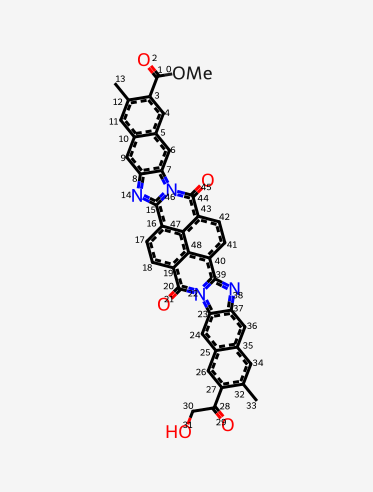 COC(=O)c1cc2cc3c(cc2cc1C)nc1c2ccc4c(=O)n5c6cc7cc(C(=O)CO)c(C)cc7cc6nc5c5ccc(c(=O)n31)c2c45